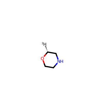 [2H][C@@H]1CNCCO1